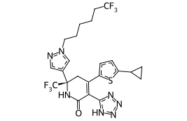 O=C1N[C@@](c2cnn(CCCCCC(F)(F)F)c2)(C(F)(F)F)CC(c2ccc(C3CC3)s2)=C1c1nnn[nH]1